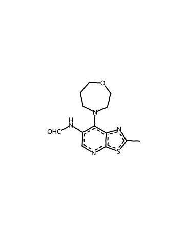 Cc1nc2c(N3CCCOCC3)c(NC=O)cnc2s1